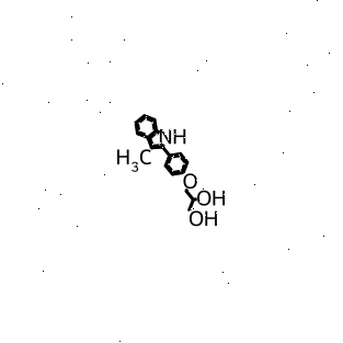 Cc1c(-c2ccc(OCC(O)CO)cc2)[nH]c2ccccc12